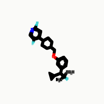 CC(F)(C(=O)O)C(c1cccc(OCC2CCC(c3cc(F)ncc3F)CC2)c1)C1CC1